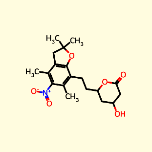 Cc1c(CCC2CC(O)CC(=O)O2)c2c(c(C)c1[N+](=O)[O-])CC(C)(C)O2